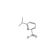 CC(C)c1cccc([N+](=O)[O-])n1